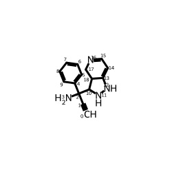 C#CC(N)(c1ccccc1)C1NNC2=CC=NCC21